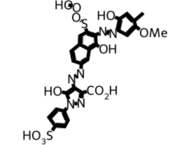 COc1cc(N=Nc2c(SOOO)cc3ccc(N=Nc4c(C(=O)O)nn(-c5ccc(S(=O)(=O)O)cc5)c4O)cc3c2O)c(O)cc1C